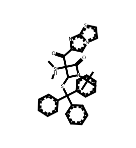 C[SiH](C)C1(C(=O)c2cn3ccsc3n2)C(=O)N(C(C)(C)C)C1SC(c1ccccc1)(c1ccccc1)c1ccccc1